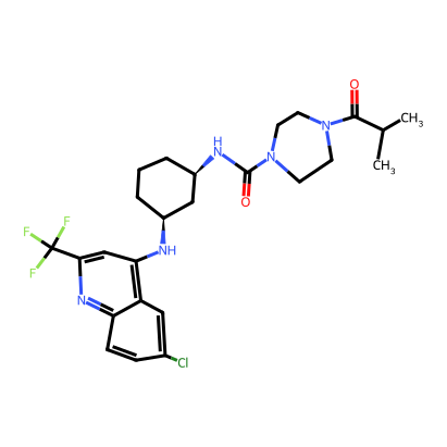 CC(C)C(=O)N1CCN(C(=O)N[C@@H]2CCC[C@H](Nc3cc(C(F)(F)F)nc4ccc(Cl)cc34)C2)CC1